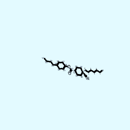 CCCCCCC[C@]1(C#N)CC[C@H](C(=O)OC2CCC(CCCC)CC2)CC1